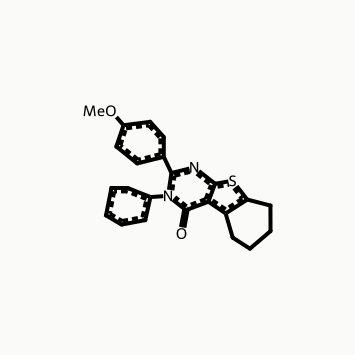 COc1ccc(-c2nc3sc4c(c3c(=O)n2-c2ccccc2)CCCC4)cc1